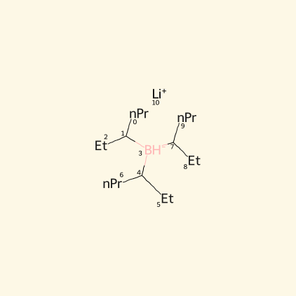 CCCC(CC)[BH-](C(CC)CCC)C(CC)CCC.[Li+]